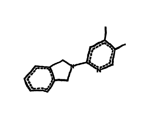 Cc1cnc(N2Cc3ccccc3C2)cc1C